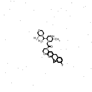 CC([C@H]1CN[C@H](C)CN1CC(=O)N1CCOc2nc(C3CC3)c(Cc3ccc(F)cc3)cc21)N1CCOC[C@H]1C